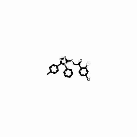 Cc1ccc(-c2nnc(SCC(=O)c3ccc(Cl)cc3Cl)n2-c2ccccc2)cc1